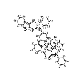 c1ccc(-n2c3ccccc3c3c([Si](c4ccccc4)(c4ccccc4)c4ccc(-n5c6ccccc6c6cc7c(cc65)sc5ccccc57)cc4)cccc32)cc1